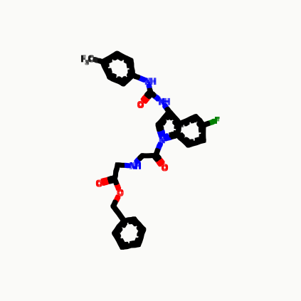 O=C(Nc1ccc(C(F)(F)F)cc1)Nc1cn(C(=O)CNCC(=O)OCc2ccccc2)c2ccc(F)cc12